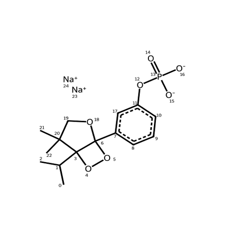 CC(C)C12OOC1(c1cccc(OP(=O)([O-])[O-])c1)OCC2(C)C.[Na+].[Na+]